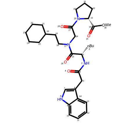 CCCC[C@H](NC(=O)Cc1c[nH]c2ccccc12)C(=O)N(CCC1CCCCC1)CC(=O)N1CCC[C@@H]1C(=O)OC